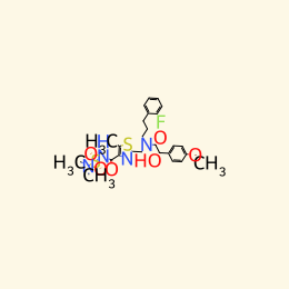 COc1ccc([C@@H](O)C(=O)N(CCCc2ccccc2F)Cc2nc(C(=O)NS(=O)(=O)N(C)C)c(C)s2)cc1